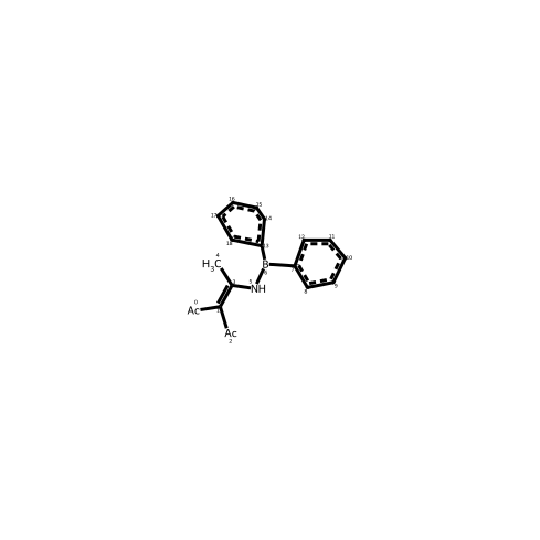 CC(=O)C(C(C)=O)=C(C)NB(c1ccccc1)c1ccccc1